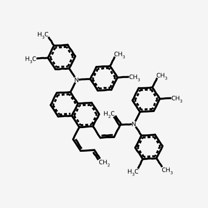 C=C/C=C\c1c(/C=C\C(=C)N(c2ccc(C)c(C)c2)c2ccc(C)c(C)c2)ccc2c(N(c3ccc(C)c(C)c3)c3ccc(C)c(C)c3)cccc12